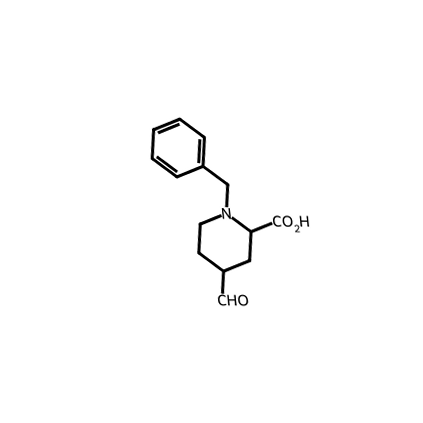 O=CC1CCN(Cc2ccccc2)C(C(=O)O)C1